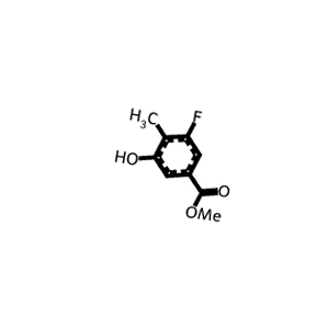 COC(=O)c1cc(O)c(C)c(F)c1